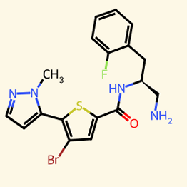 Cn1nccc1-c1sc(C(=O)N[C@H](CN)Cc2ccccc2F)cc1Br